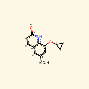 O=C(O)c1cc(OC2CC2)c2[nH]c(=O)ccc2c1